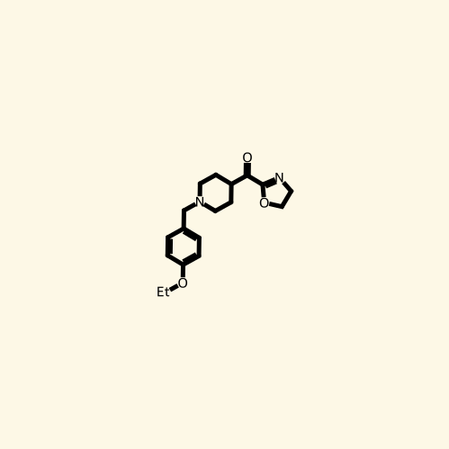 CCOc1ccc(CN2CCC(C(=O)C3=NCCO3)CC2)cc1